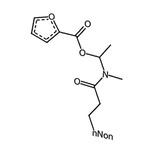 CCCCCCCCCCCC(=O)N(C)C(C)OC(=O)c1ccco1